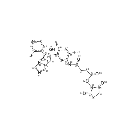 C[C@@H](c1ncncc1F)[C@](O)(Cn1cncn1)c1cc(NC(=O)CCC(=O)ON2C(=O)CCC2=O)c(F)cc1F